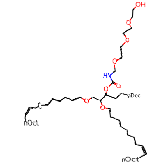 CCCCCCCC/C=C\CCCCCCCCOCC(OCCCCCCCC/C=C\CCCCCCCC)C(CCCCCCCCCCCC)OC(=O)NCOCCOCCOCCO